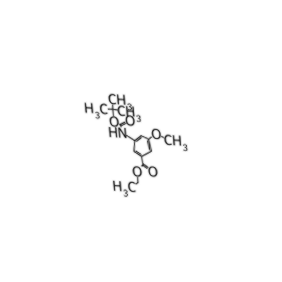 CCOC(=O)c1cc(NC(=O)OC(C)(C)C)cc(OC)c1